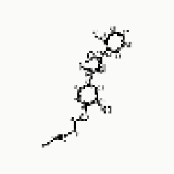 CC#CCCOc1ccc(-c2noc(-c3ccccc3C)n2)cc1Cl